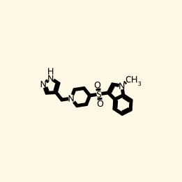 Cn1cc(S(=O)(=O)C2CCN(Cc3cn[nH]c3)CC2)c2ccccc21